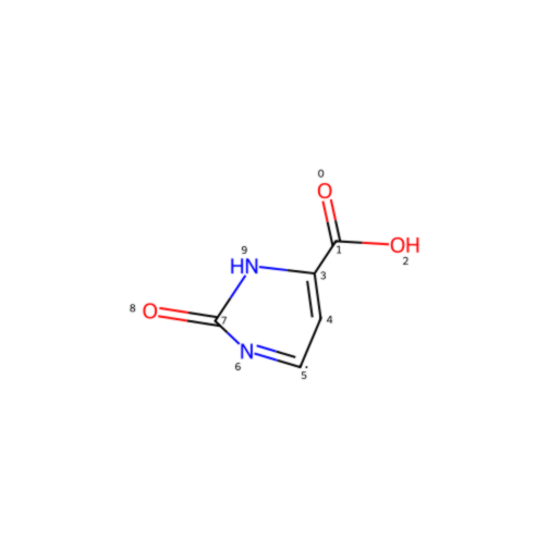 O=C(O)c1c[c]nc(=O)[nH]1